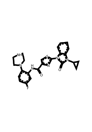 O=C(Nc1cc(F)ccc1N1CCNCC1)c1csc(-n2c(=O)n(C3CC3)c3ccccc32)n1